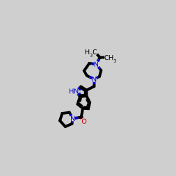 CC(C)N1CCCN(Cc2c[nH]c3cc(C(=O)N4CCCCC4)ccc23)CC1